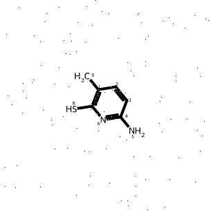 Cc1ccc(N)nc1S